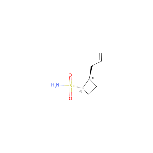 C=CC[C@H]1CC[C@@H]1S(N)(=O)=O